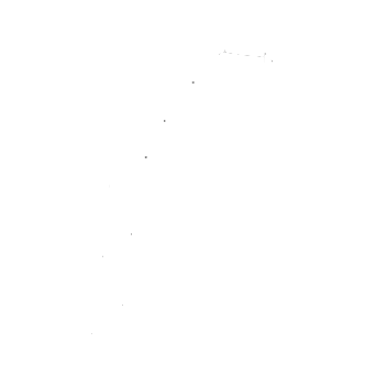 CCCCCCC(C)(C)C(C)(C)C(C)(C)C(N)=O